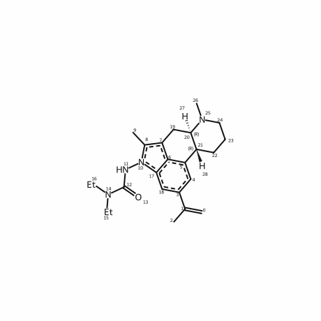 C=C(C)c1cc2c3c(c(C)n(NC(=O)N(CC)CC)c3c1)C[C@@H]1[C@@H]2CCCN1C